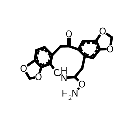 NOC1Cc2cc3c(cc2C(=O)Cc2ccc4c(c2CN1)OCO4)OCO3